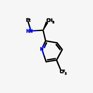 CCN[C@@H](C)c1ccc(C(F)(F)F)cn1